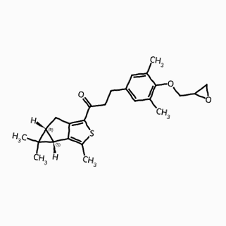 Cc1cc(CCC(=O)c2sc(C)c3c2C[C@@H]2[C@H]3C2(C)C)cc(C)c1OCC1CO1